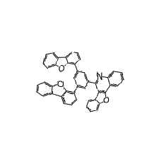 c1ccc2c(c1)nc(-c1cc(-c3cccc4c3oc3ccccc34)cc(-c3cccc4c3oc3ccccc34)c1)c1c3ccccc3oc21